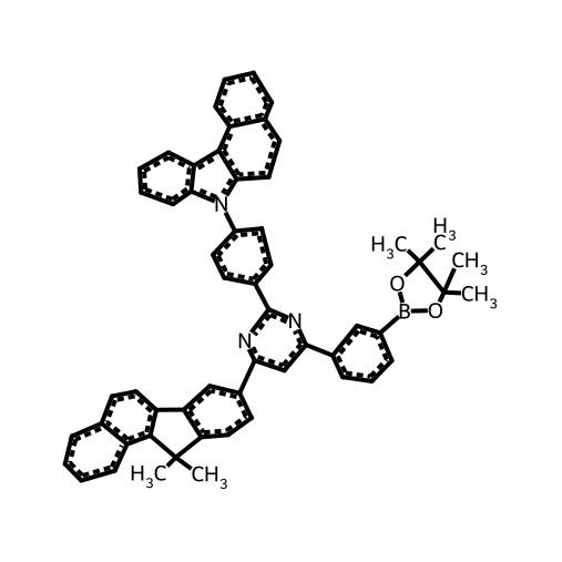 CC1(C)c2ccc(-c3cc(-c4cccc(B5OC(C)(C)C(C)(C)O5)c4)nc(-c4ccc(-n5c6ccccc6c6c7ccccc7ccc65)cc4)n3)cc2-c2ccc3ccccc3c21